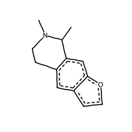 CC1c2cc3occc3cc2CCN1C